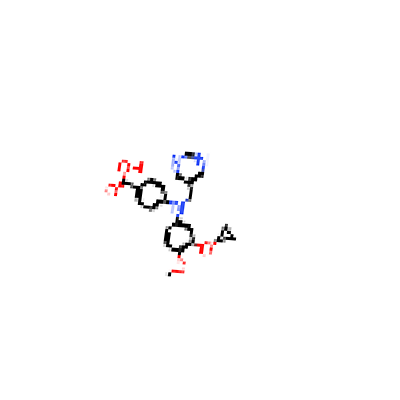 COc1ccc(N(Cc2cncnc2)c2ccc(C(=O)O)cc2)cc1OC1CC1